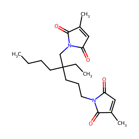 CCCCC(CC)(CCCN1C(=O)C=C(C)C1=O)CN1C(=O)C=C(C)C1=O